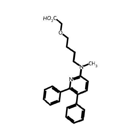 CN(CCCCOCC(=O)O)c1ccc(-c2ccccc2)c(-c2ccccc2)n1